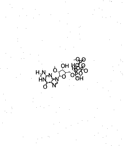 CO[C@H]1C(n2cnc3c(=O)[nH]c(N)nc32)OC(COP(=O)(O)OP(=O)(O)OP(=O)(O)OC)[C@H]1O